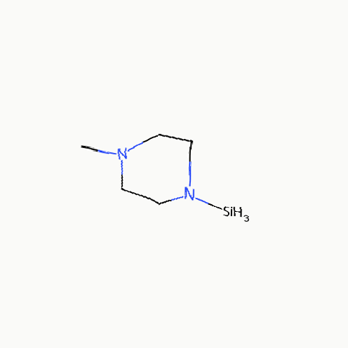 CN1CCN([SiH3])CC1